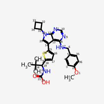 COc1ccc(CNc2ncnc3c2c(-c2ccc(C(NC(=O)O)C(C)(C)C)s2)cn3C2CCC2)cc1